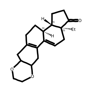 CC[C@]12CC=C3C4=C(CC[C@H]3[C@@H]1CCC2=O)CC1OCCOC1C4